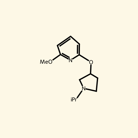 COc1cccc(OC2CCN(C(C)C)C2)n1